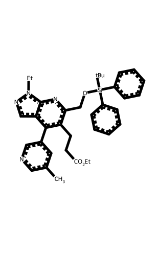 CCOC(=O)CCc1c(CO[Si](c2ccccc2)(c2ccccc2)C(C)(C)C)nc2c(cnn2CC)c1-c1cncc(C)c1